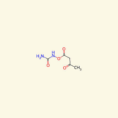 CC(=O)CC(=O)ONC(N)=O